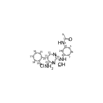 CC(=O)Nc1cccc(Nc2ncc(-c3ccccc3Cl)c(N)n2)c1.Cl